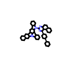 c1ccc(-c2ccc(-c3nc(-n4c5ccccc5c5cc6c7cc8ccccc8cc7n7c8ccccc8c(c54)c67)nc4ccc5ccccc5c34)cc2)cc1